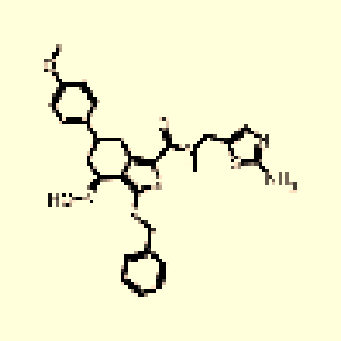 COc1ccc(C2C/C(=N\O)c3c(SCc4ccccc4)sc(C(=O)NCc4cnc(N)s4)c3C2)cc1